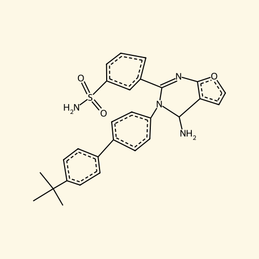 CC(C)(C)c1ccc(-c2ccc(N3C(c4cccc(S(N)(=O)=O)c4)=Nc4occc4C3N)cc2)cc1